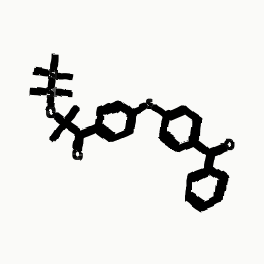 CC(C)(O[Si](C)(C)[Si](C)(C)C)C(=O)c1ccc(Sc2ccc(C(=O)c3ccccc3)cc2)cc1